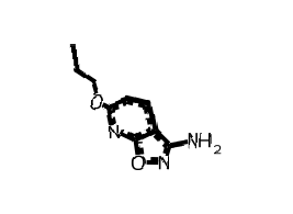 CCCOc1ccc2c(N)noc2n1